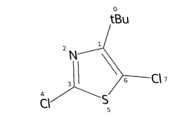 CC(C)(C)c1nc(Cl)sc1Cl